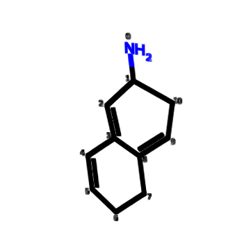 NC1C=C2C=CCCC2=CC1